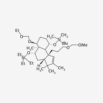 [CH2]COCO[C@H]1CC[C@H](O[Si](C)(C)C(C)(C)C)C2[C@@]1(C)[C@@H](O[Si](CC)(CC)CC)C[C@H]1C(C)(C)C(C)=C[C@@]21CCCOCOC